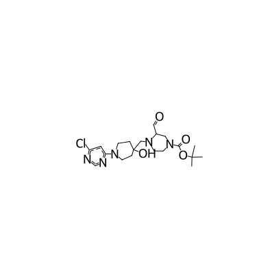 CC(C)(C)OC(=O)N1CCN(CC2(O)CCN(c3cc(Cl)ncn3)CC2)C(C=O)C1